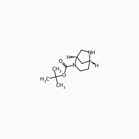 CC(C)(C)OC(=O)N1CC[C@@H]2C[C@H]1CN2